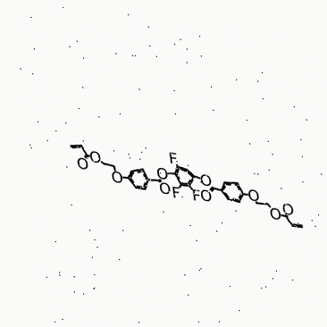 C=CC(=O)OCCOc1ccc(C(=O)Oc2cc(F)c(OC(=O)c3ccc(OCCOC(=O)C=C)cc3)c(F)c2F)cc1